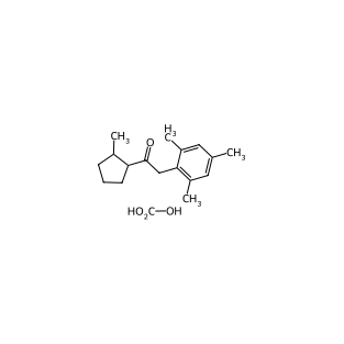 Cc1cc(C)c(CC(=O)C2CCCC2C)c(C)c1.O=C(O)O